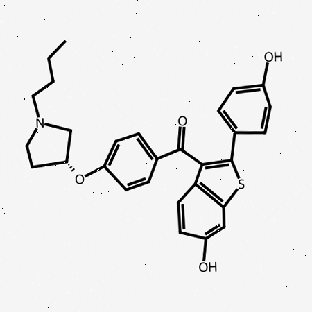 CCCCN1CC[C@@H](Oc2ccc(C(=O)c3c(-c4ccc(O)cc4)sc4cc(O)ccc34)cc2)C1